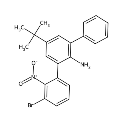 CC(C)(C)c1cc(-c2ccccc2)c(N)c(-c2cccc(Br)c2[N+](=O)[O-])c1